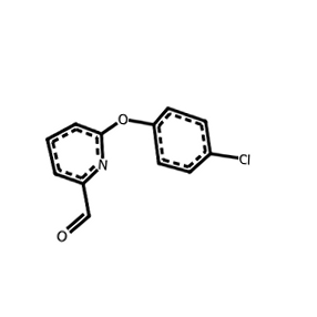 O=Cc1cccc(Oc2ccc(Cl)cc2)n1